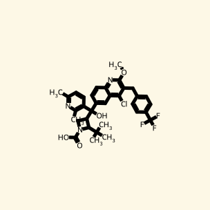 COc1nc2ccc(C(O)(c3ccc(C)nc3C)C3CN(C(=O)O)C3C(C)(C)C)cc2c(Cl)c1Cc1ccc(C(F)(F)F)cc1